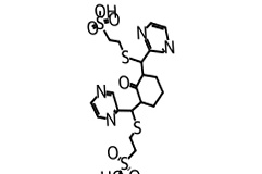 O=C1C(C(SCCS(=O)(=O)O)c2cnccn2)CCCC1C(SCCS(=O)(=O)O)c1cnccn1